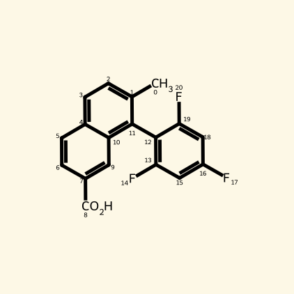 Cc1ccc2ccc(C(=O)O)cc2c1-c1c(F)cc(F)cc1F